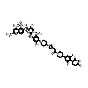 CCc1cc(Nc2ncc(Br)c(Nc3ccc4nc(C)ccc4c3P(C)(C)=O)n2)c(OC)cc1N1CCC(N2CC(CC(=O)N3CCC(c4cc(F)c(C5CCC(=O)NC5=O)c(F)c4)CC3)C2)CC1